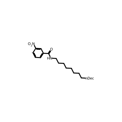 CCCCCCCCCCCCCCCCCCNC(=O)c1cc[c]c([N+](=O)[O-])c1